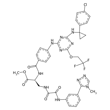 COC(=O)[C@H](CNC(=O)C(=O)Nc1cccc(-c2nncn2C)c1)NC(=O)c1ccc(Nc2nc(NC3(c4ccc(Cl)cc4)CC3)nc(OCC(F)(F)F)n2)cc1